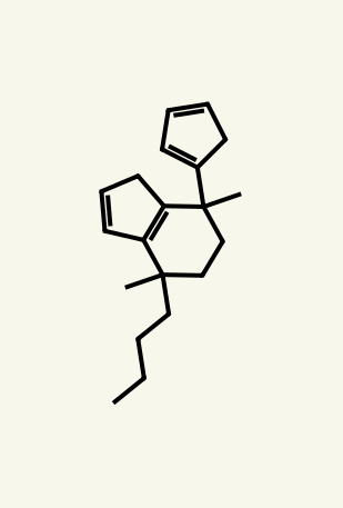 CCCCC1(C)CCC(C)(C2=CC=CC2)C2=C1C=CC2